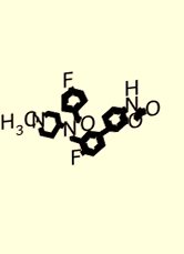 CN1CCC(N(Cc2cc(-c3ccc4[nH]c(=O)oc4c3)ccc2F)C(=O)c2ccc(F)cc2)CC1